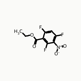 CCOC(=O)c1c(F)cc(F)c([N+](=O)[O-])c1F